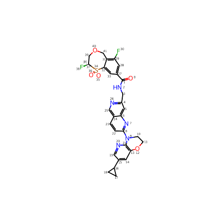 O=C(NCc1cc2nc(N3CCOc4cc(C5CC5)cnc43)ccc2cn1)c1cc(F)c2c(c1)S(=O)(=O)[C@@H](F)COC2